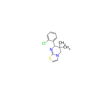 CC1(C)CN2C=CSC2=NC1c1ccccc1Cl